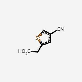 N#Cc1csc(CC(=O)O)c1